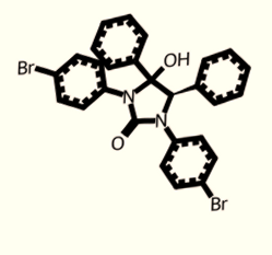 O=C1N(c2ccc(Br)cc2)[C@H](c2ccccc2)C(O)(c2ccccc2)N1c1ccc(Br)cc1